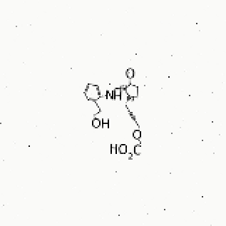 O=C(O)COCC#CC[C@H]1CCC(=O)[C@@H]1CNc1ccccc1CCO